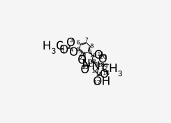 COC(=O)Oc1cccc2c(=O)c(N(CC(=O)O)C(C)=O)[n+]([O-])oc12